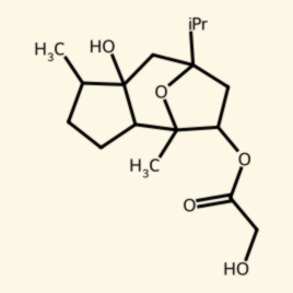 CC(C)C12CC(OC(=O)CO)C(C)(O1)C1CCC(C)C1(O)C2